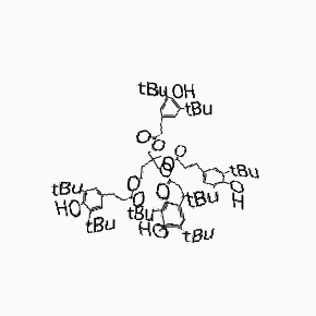 CC(C)(C)c1cc(CCC(=O)OCCC(COC(=O)CCc2cc(C(C)(C)C)c(O)c(C(C)(C)C)c2)(COC(=O)CCc2cc(C(C)(C)C)c(O)c(C(C)(C)C)c2)COC(=O)CCc2cc(C(C)(C)C)c(O)c(C(C)(C)C)c2)cc(C(C)(C)C)c1O